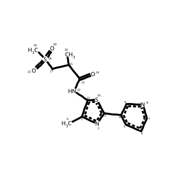 Cc1nc(-c2cccnc2)sc1NC(=O)C(C)CS(C)(=O)=O